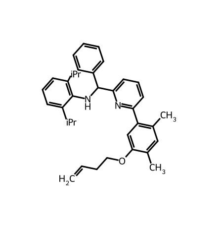 C=CCCOc1cc(-c2cccc(C(Nc3c(C(C)C)cccc3C(C)C)c3ccccc3)n2)c(C)cc1C